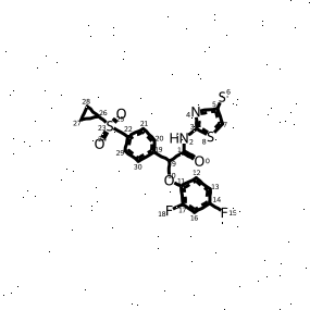 O=C(Nc1nc([S])cs1)C(Oc1ccc(F)cc1F)c1ccc(S(=O)(=O)C2CC2)cc1